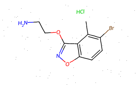 Cc1c(Br)ccc2onc(OCCN)c12.Cl